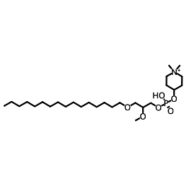 CCCCCCCCCCCCCCCCOCC(COP(=O)(O)OC1CC[N+](C)(C)CC1)OC